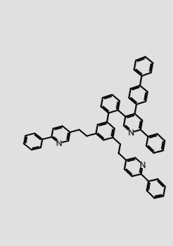 c1ccc(-c2ccc(-c3cc(-c4ccccc4)ncc3-c3ccccc3-c3cc(CCc4ccc(-c5ccccc5)nc4)cc(CCc4ccc(-c5ccccc5)nc4)c3)cc2)cc1